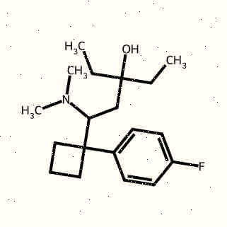 CCC(O)(CC)CC(N(C)C)C1(c2ccc(F)cc2)CCC1